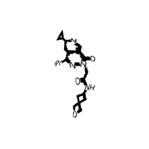 CC(C)c1nn(CC(=O)NC2CC3(COC3)C2)c(=O)c2cnc(C3CC3)cc12